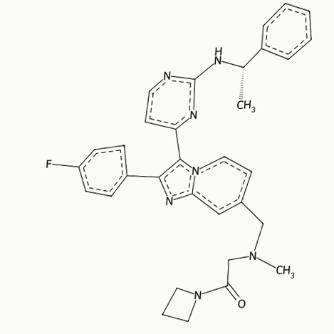 C[C@H](Nc1nccc(-c2c(-c3ccc(F)cc3)nc3cc(CN(C)CC(=O)N4CCC4)ccn23)n1)c1ccccc1